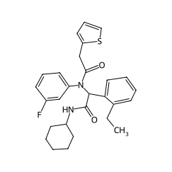 CCc1ccccc1C(C(=O)NC1CCCCC1)N(C(=O)Cc1cccs1)c1cccc(F)c1